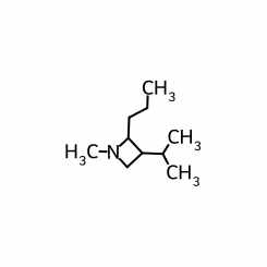 CCCC1C(C(C)C)CN1C